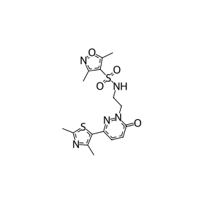 Cc1nc(C)c(-c2ccc(=O)n(CCNS(=O)(=O)c3c(C)noc3C)n2)s1